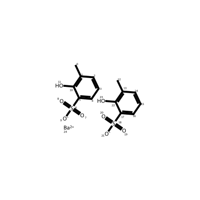 Cc1cccc(S(=O)(=O)[O-])c1O.Cc1cccc(S(=O)(=O)[O-])c1O.[Ba+2]